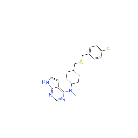 CN(c1ncnc2[nH]ccc12)C1CCC(CSCc2ccc(F)cc2)CC1